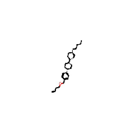 C=CCCOCc1ccc([C@H]2CC[C@H]([C@H]3CC[C@H](C=CCCC)CC3)CC2)cc1